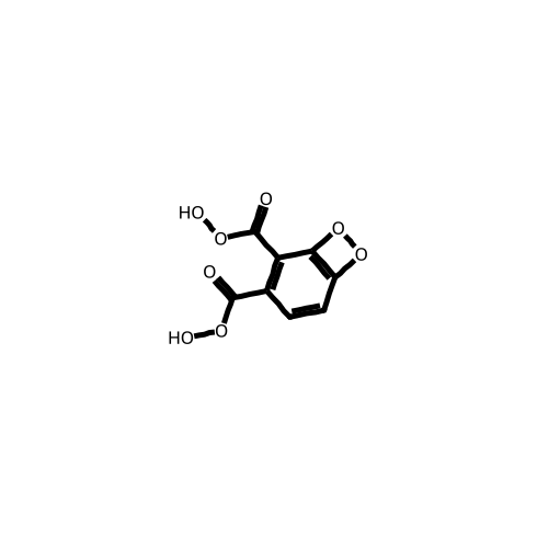 O=C(OO)c1ccc2ooc2c1C(=O)OO